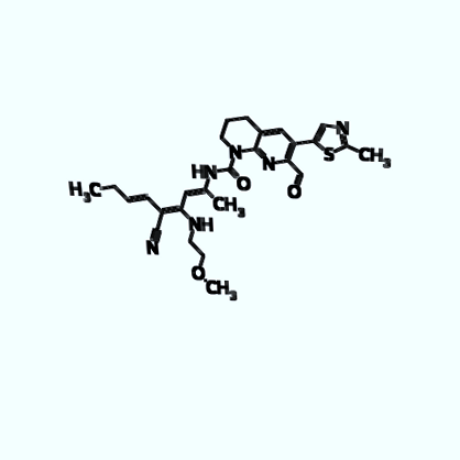 CC/C=C/C(C#N)=C(\C=C(/C)NC(=O)N1CCCc2cc(-c3cnc(C)s3)c(C=O)nc21)NCCOC